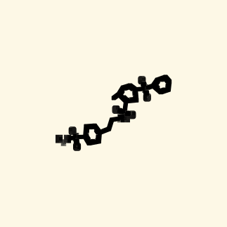 Cc1ccc(S(=O)(=O)c2ccccc2)cc1S(=O)(=O)NCCc1ccc(S(N)(=O)=O)cc1